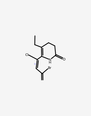 C=C(Br)/C=C(/Cl)C1=C(CC)CCC(=O)N1